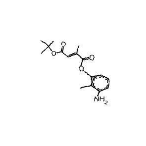 CC(=CC(=O)OC(C)(C)C)C(=O)Oc1cccc(N)c1C